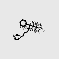 CC(C)(C)C(C)(C)C(C)(c1ccccc1)C(C)(C)CCCn1ccnc1